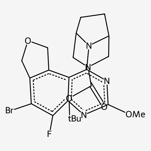 COc1nc(N2C3CCC2CN(C(=O)OC(C)(C)C)C3)c2c3c(c(Br)c(F)c2n1)COC3